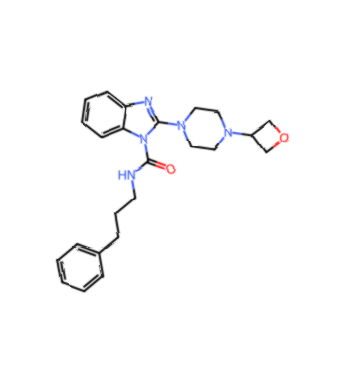 O=C(NCCCc1ccccc1)n1c(N2CCN(C3COC3)CC2)nc2ccccc21